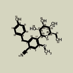 CSc1cc(C#N)c(Cc2ccc(O)cc2)cc1[C@@H]1O[C@H](CO)[C@@H](O)[C@H](O)[C@H]1O